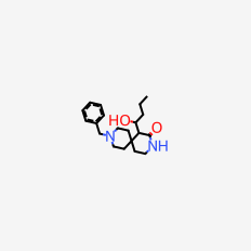 CCCC(O)C1C(=O)NCCC12CCN(Cc1ccccc1)CC2